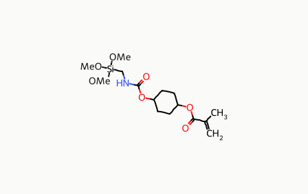 C=C(C)C(=O)OC1CCC(OC(=O)NC[Si](OC)(OC)OC)CC1